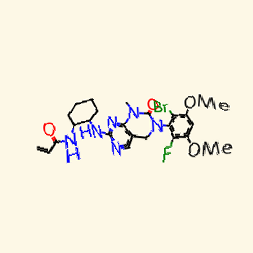 C=CC(=O)N[C@H]1CCCC[C@H]1Nc1ncc2c(n1)N(C)C(=O)N(c1c(F)c(OC)cc(OC)c1Br)C2